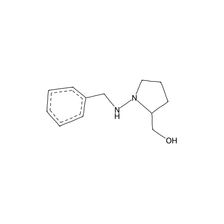 OCC1CCCN1NCc1ccccc1